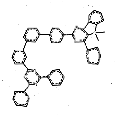 C[Si]1(C)c2ccccc2-c2nc(-c3ccc(-c4cccc(-c5cccc(-c6nc(-c7ccccc7)nc(-c7ccccc7)n6)c5)c4)cc3)nc(-c3ccccc3)c21